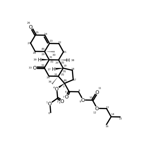 COC(=O)O[C@]1(C(=O)COC(=O)OCC(C)C)CC[C@H]2[C@@H]3CCC4=CC(=O)CC[C@]4(C)[C@H]3C(=O)C[C@@]21C